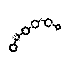 c1ccc(-c2nnc(-c3ccc(N4CCC(OC5CCN(C6CCC6)CC5)CC4)cc3)o2)cc1